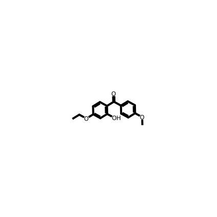 CCOc1ccc(C(=O)c2ccc(OC)cc2)c(O)c1